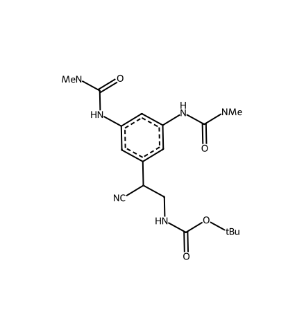 CNC(=O)Nc1cc(NC(=O)NC)cc(C(C#N)CNC(=O)OC(C)(C)C)c1